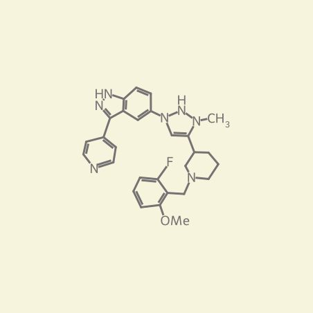 COc1cccc(F)c1CN1CCCC(C2=CN(c3ccc4[nH]nc(-c5ccncc5)c4c3)NN2C)C1